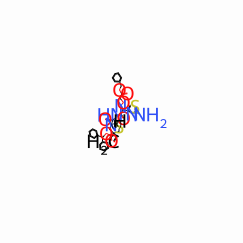 C=CC1(C(=O)OC(c2ccccc2)c2ccccc2)CS[C@@H]2C(NC(=O)C(=NOCC(=O)OCc3ccccc3)c3csc(N)n3)C(=O)N2C1